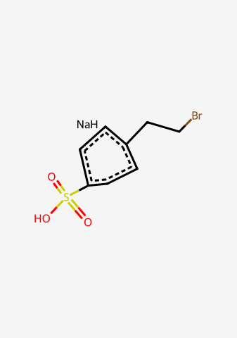 O=S(=O)(O)c1ccc(CCBr)cc1.[NaH]